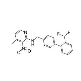 Cc1ccnc(NCc2ccc(-c3ccccc3C(F)F)cc2)c1[N+](=O)[O-]